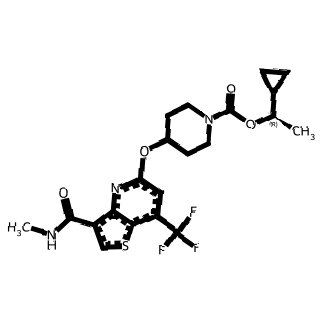 CNC(=O)c1csc2c(C(F)(F)F)cc(OC3CCN(C(=O)O[C@H](C)C4CC4)CC3)nc12